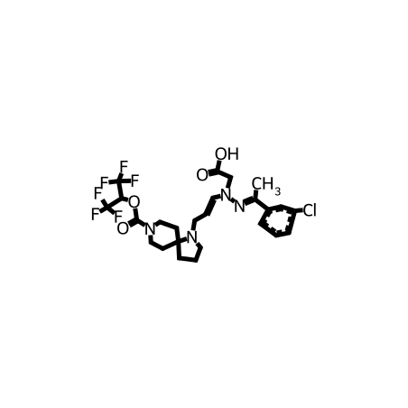 C/C(=N\N(/C=C/CN1CCCC12CCN(C(=O)OC(C(F)(F)F)C(F)(F)F)CC2)CC(=O)O)c1cccc(Cl)c1